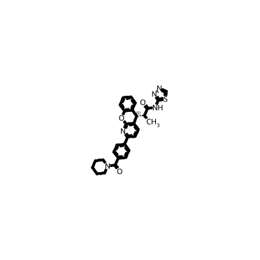 CC(C(=O)Nc1nncs1)[C@H]1c2ccccc2Oc2nc(-c3ccc(C(=O)N4CCCCC4)cc3)ccc21